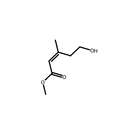 COC(=O)/C=C(/C)CCO